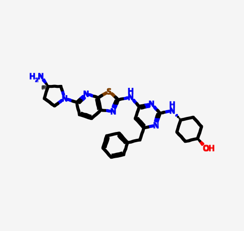 N[C@@H]1CCN(c2ccc3nc(Nc4cc(Cc5ccccc5)nc(N[C@H]5CC[C@H](O)CC5)n4)sc3n2)C1